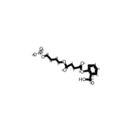 O=C(CCC(=O)Oc1ccccc1C(=O)O)OCCCCO[N+](=O)[O-]